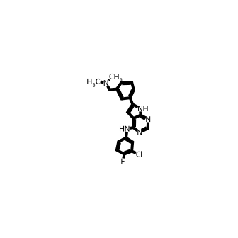 CN(C)Cc1cccc(-c2cc3c(Nc4ccc(F)c(Cl)c4)ncnc3[nH]2)c1